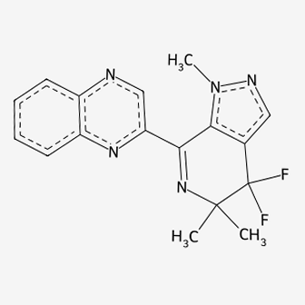 Cn1ncc2c1C(c1cnc3ccccc3n1)=NC(C)(C)C2(F)F